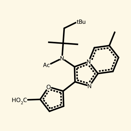 CC(=O)N(c1c(-c2ccc(C(=O)O)o2)nc2ccc(C)cn12)C(C)(C)CC(C)(C)C